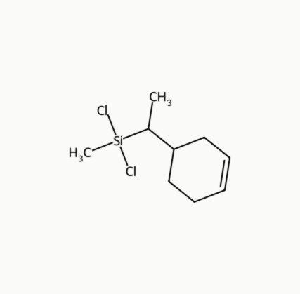 CC(C1CC=CCC1)[Si](C)(Cl)Cl